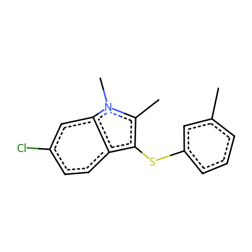 Cc1cccc(Sc2c(C)n(C)c3cc(Cl)ccc23)c1